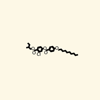 CCCCCCCCCCOc1ccc(C(=O)Oc2ccc(C(=O)OCC(C)CC)c(Cl)c2)cc1